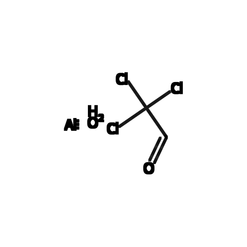 O.O=CC(Cl)(Cl)Cl.[Al]